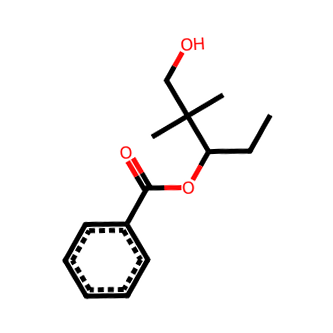 CCC(OC(=O)c1ccccc1)C(C)(C)CO